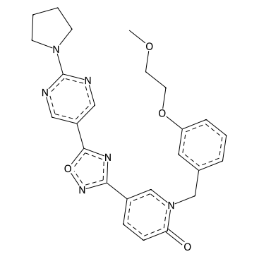 COCCOc1cccc(Cn2cc(-c3noc(-c4cnc(N5CCCC5)nc4)n3)ccc2=O)c1